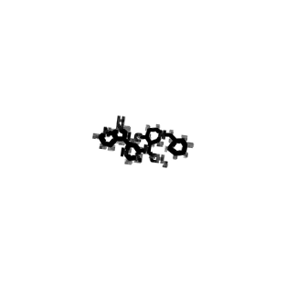 CC1CCN(Cc2ccccc2)CC1N(C)c1cc(-c2c[nH]c3ncccc23)ncn1